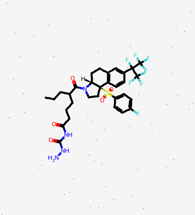 CCCC(CCCC(=O)NC(=O)NN)C(=O)N1CC[C@@]2(S(=O)(=O)c3ccc(F)cc3)c3ccc(C(F)(C(F)(F)F)C(F)(F)F)cc3CC[C@@H]12